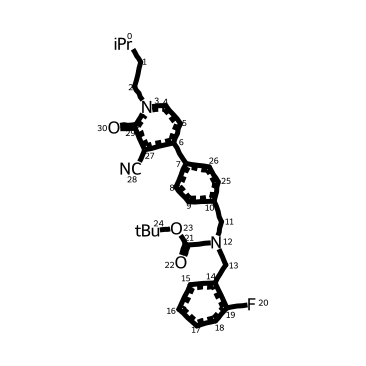 CC(C)CCn1ccc(-c2ccc(CN(Cc3ccccc3F)C(=O)OC(C)(C)C)cc2)c(C#N)c1=O